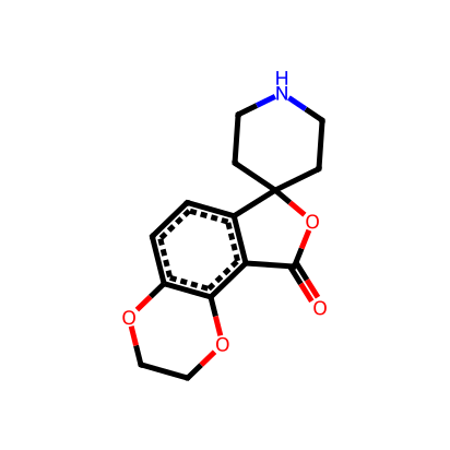 O=C1OC2(CCNCC2)c2ccc3c(c21)OCCO3